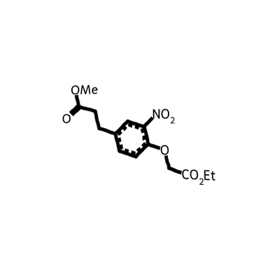 CCOC(=O)COc1ccc(CCC(=O)OC)cc1[N+](=O)[O-]